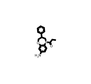 CCC(=O)N1CC(c2ccccc2)COc2cc(N)ccc21